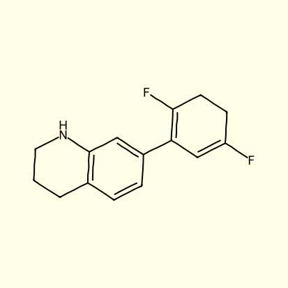 FC1=CC(c2ccc3c(c2)NCCC3)=C(F)CC1